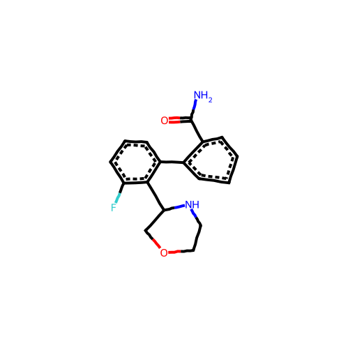 NC(=O)c1ccccc1-c1cccc(F)c1C1COCCN1